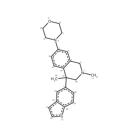 CN1Cc2cc(N3CCOCC3)ccc2C(C)(c2ccc3sccc3c2)C1